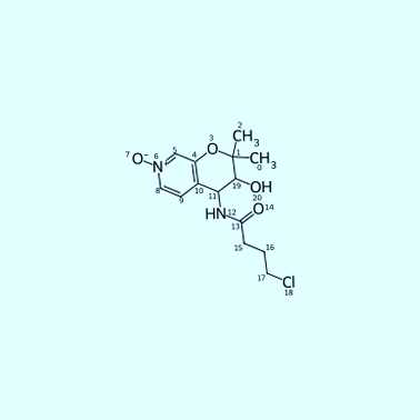 CC1(C)Oc2c[n+]([O-])ccc2C(NC(=O)CCCCl)C1O